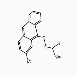 CCCCC(I)OOc1c2ccccc2cc2ccc(CC)cc12